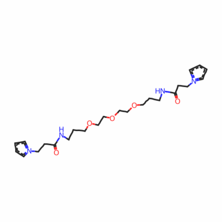 O=C(CCn1cccc1)NCCCOCCOCCOCCCNC(=O)CCn1cccc1